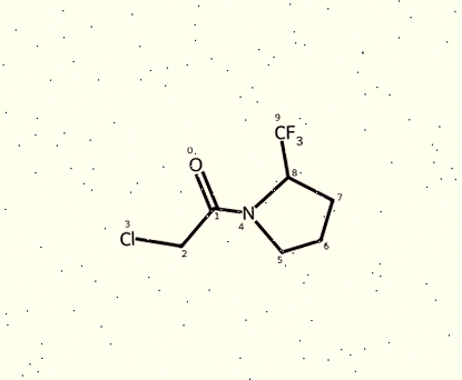 O=C(CCl)N1CCCC1C(F)(F)F